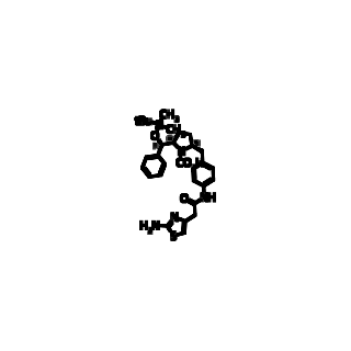 CC(C)(C)[Si](C)(C)O[C@H](c1ccccc1)[C@H]1CC[C@@H](Cc2ccc(NC(=O)Cc3csc(N)n3)cc2)N1C(=O)O